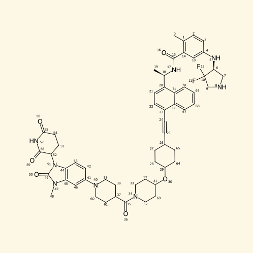 Cc1ccc(N[C@H]2CNCC2(F)F)cc1C(=O)N[C@H](C)c1ccc(C#CC2CCC(OC3CCN(C(=O)C4CCN(c5ccc6c(c5)n(C)c(=O)n6C5CCC(=O)NC5=O)CC4)CC3)CC2)c2ccccc12